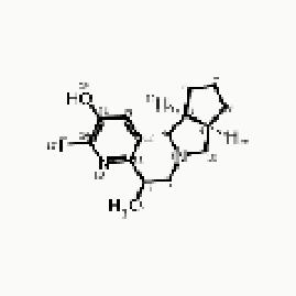 CC(CN1C[C@H]2CCC[C@H]2C1)c1ccc(O)c(F)n1